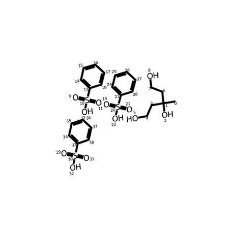 CC(O)(CCO)CCO.O=S(=O)(O)c1ccccc1.O=S(=O)(O)c1ccccc1.O=S(=O)(O)c1ccccc1